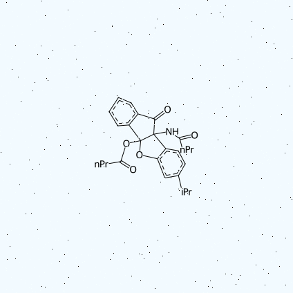 CCCC(=O)NC12C(=O)c3ccccc3C1(OC(=O)CCC)Oc1cc(C(C)C)ccc12